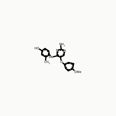 COc1ccc(Oc2cnc(N)nc2Nc2ccc(O)cc2C)cc1